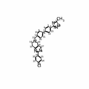 Cc1nc(-c2ccc(-c3ccc(CN4CCc5nc(-c6ccc(Cl)cc6)ncc5C4)cc3)cc2)no1